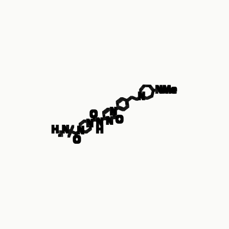 CNC1CCCN(CCc2ccc(-n3ccc(NC(=O)N4CCN(C(=O)C(C)(C)N)CC4)nc3=O)cc2)CC1